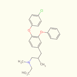 CC(Cc1ccc(Oc2ccc(Cl)cc2)c(Oc2ccccc2)c1)CN(C)CC(=O)O